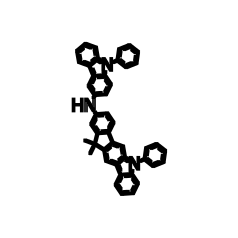 CC1(C)c2cc(Nc3ccc4c(c3)c3ccccc3n4-c3ccccc3)ccc2-c2cc3c(cc21)c1ccccc1n3-c1ccccc1